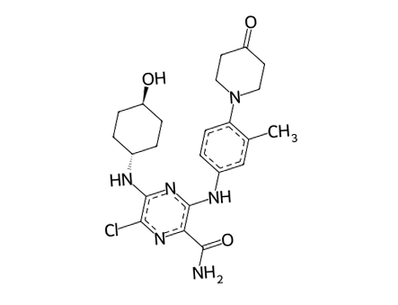 Cc1cc(Nc2nc(N[C@H]3CC[C@H](O)CC3)c(Cl)nc2C(N)=O)ccc1N1CCC(=O)CC1